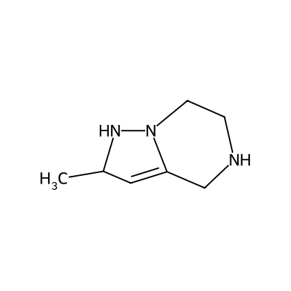 CC1C=C2CNCCN2N1